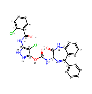 O=C(N[C@H]1N=C(c2ccccc2)c2ccccc2NC1=O)Oc1n[nH]c(NC(=O)c2ccccc2Cl)c1Cl